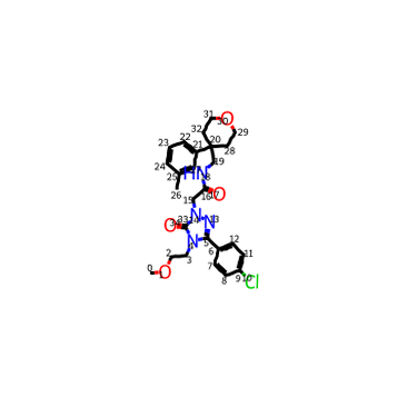 COCCn1c(-c2ccc(Cl)cc2)nn(CC(=O)NCC2(c3cccc(C)c3)CCOCC2)c1=O